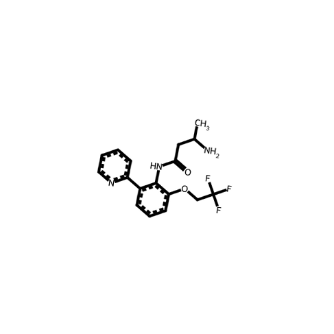 CC(N)CC(=O)Nc1c(OCC(F)(F)F)cccc1-c1ccccn1